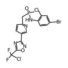 CP(=O)(Cc1ccc(-c2noc(C(F)(F)Cl)n2)cn1)Nc1ccc(Br)cc1Cl